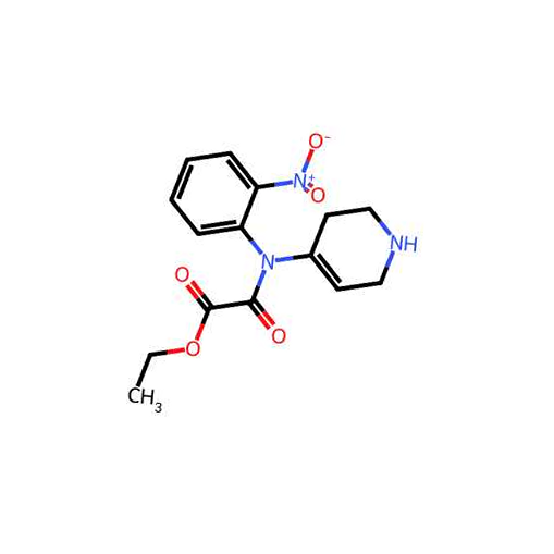 CCOC(=O)C(=O)N(C1=CCNCC1)c1ccccc1[N+](=O)[O-]